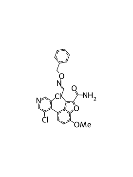 COc1ccc(-c2c(Cl)cncc2Cl)c2c(CC=NOCc3ccccc3)c(C(N)=O)oc12